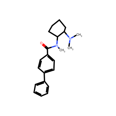 CN(C)C1CCCCC1N(C)C(=O)c1ccc(-c2ccccc2)cc1